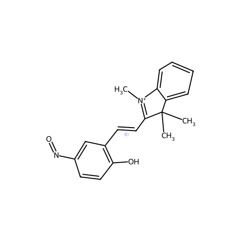 C[N+]1=C(/C=C/c2cc(N=O)ccc2O)C(C)(C)c2ccccc21